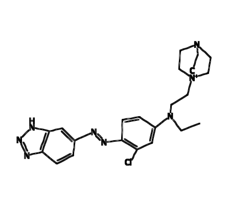 CCN(CC[N+]12CCN(CC1)CC2)c1ccc(N=Nc2ccc3nn[nH]c3c2)c(Cl)c1